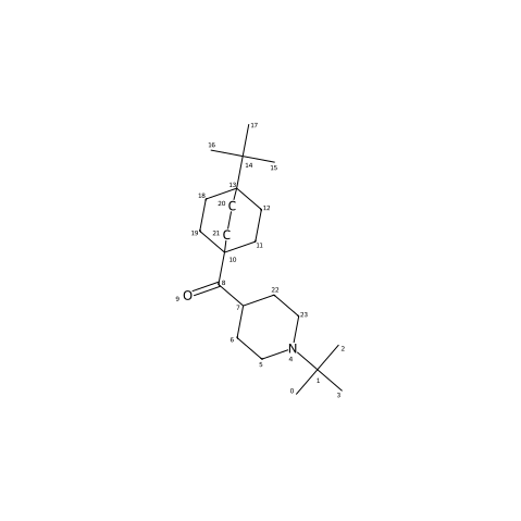 CC(C)(C)N1CCC(C(=O)C23CCC(C(C)(C)C)(CC2)CC3)CC1